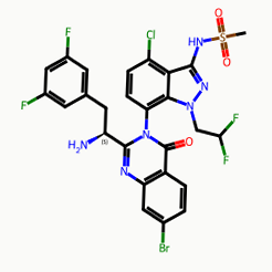 CS(=O)(=O)Nc1nn(CC(F)F)c2c(-n3c([C@@H](N)Cc4cc(F)cc(F)c4)nc4cc(Br)ccc4c3=O)ccc(Cl)c12